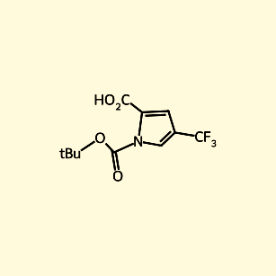 CC(C)(C)OC(=O)n1cc(C(F)(F)F)cc1C(=O)O